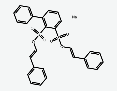 O=S(=O)(OC=Cc1ccccc1)c1cccc(-c2ccccc2)c1S(=O)(=O)OC=Cc1ccccc1.[Na]